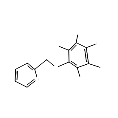 Fc1c(F)c(F)c(SCc2ccccn2)c(F)c1F